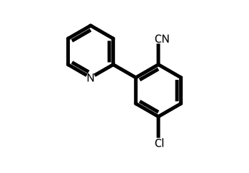 N#Cc1ccc(Cl)cc1-c1ccccn1